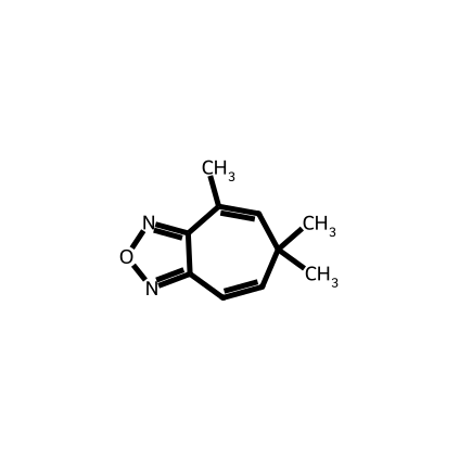 CC1=CC(C)(C)C=Cc2nonc21